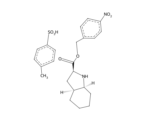 Cc1ccc(S(=O)(=O)O)cc1.O=C(OCc1ccc([N+](=O)[O-])cc1)[C@@H]1C[C@@H]2CCCC[C@@H]2N1